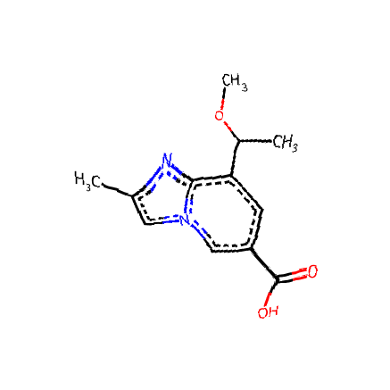 COC(C)c1cc(C(=O)O)cn2cc(C)nc12